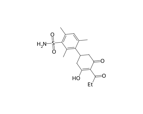 CCC(=O)C1=C(O)CC(c2c(C)cc(C)c(S(N)(=O)=O)c2C)CC1=O